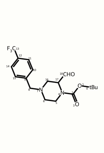 CC(C)(C)OC(=O)N1CCN(Cc2ccc(C(F)(F)F)cc2)CC1C=O